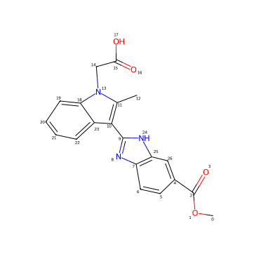 COC(=O)c1ccc2nc(-c3c(C)n(CC(=O)O)c4ccccc34)[nH]c2c1